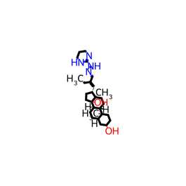 CCC(/C=N/NC1=NCCCN1)=C\[C@H]1CC[C@]2(O)[C@@H]3CC[C@@H]4C[C@@H](O)CC[C@]4(C)[C@H]3CC[C@]12C